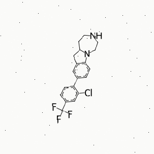 FC(F)(F)c1ccc(-c2ccc3c(c2)CC2CCNCCN32)c(Cl)c1